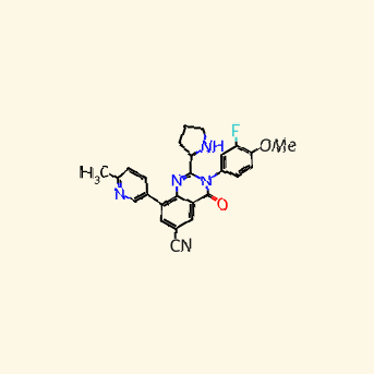 COc1ccc(-n2c(C3CCCN3)nc3c(-c4ccc(C)nc4)cc(C#N)cc3c2=O)cc1F